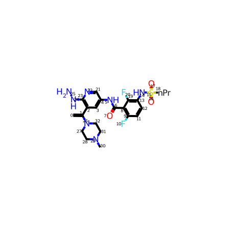 C=C(c1cc(NC(=O)c2c(F)ccc(NS(=O)(=O)CCC)c2F)cnc1NN)N1CCN(C)CC1